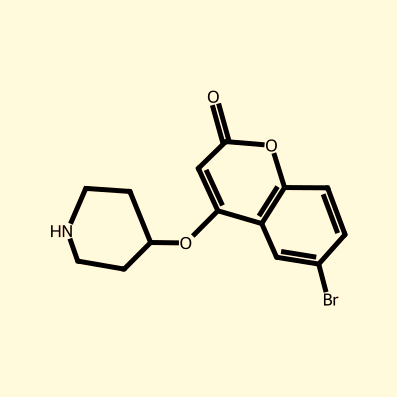 O=c1cc(OC2CCNCC2)c2cc(Br)ccc2o1